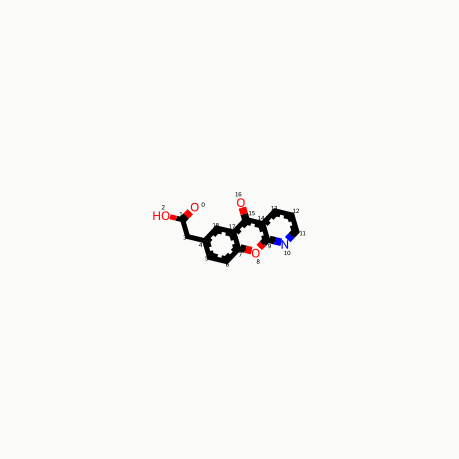 O=C(O)Cc1ccc2oc3ncccc3c(=O)c2c1